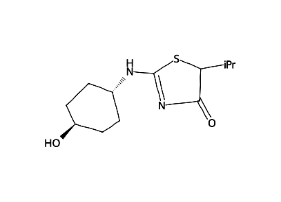 CC(C)C1SC(N[C@H]2CC[C@H](O)CC2)=NC1=O